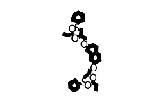 C=CC(=O)OC(COc1ccc2ccc(OCC(CSc3ccccc3)OC(=O)C=C)cc2c1)CSc1ccccc1